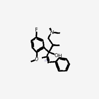 COc1ccc(F)cc1C(O)(/C(C)=C\c1ccccc1)C(C)CN(C)C